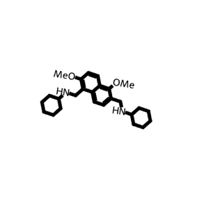 COc1ccc2c(OC)c(CNC3CCCCC3)ccc2c1CNC1CCCCC1